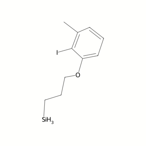 Cc1cccc(OCCC[SiH3])c1I